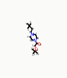 CC(C)(C)CCN1CCN(C(=O)COC(C)(C)C)CC1